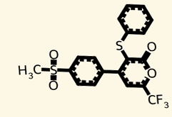 CS(=O)(=O)c1ccc(-c2cc(C(F)(F)F)oc(=O)c2Sc2ccccc2)cc1